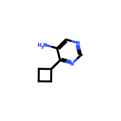 Nc1cn[c]nc1C1CCC1